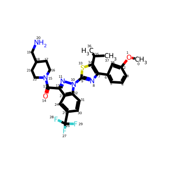 COc1cccc(-c2nc(-n3nc(C(=O)N4CCC(CN)CC4)c4cc(C(F)(F)F)ccc43)sc2C(C)C)c1